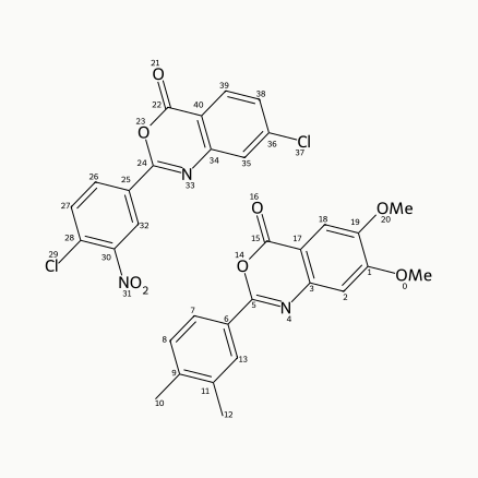 COc1cc2nc(-c3ccc(C)c(C)c3)oc(=O)c2cc1OC.O=c1oc(-c2ccc(Cl)c([N+](=O)[O-])c2)nc2cc(Cl)ccc12